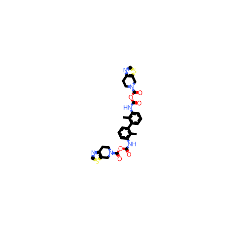 Cc1c(NC(=O)OC(=O)N2CCc3ncsc3C2)cccc1-c1cccc(NC(=O)OC(=O)N2CCc3ncsc3C2)c1C